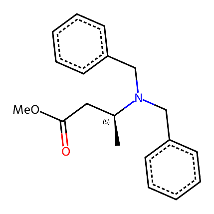 COC(=O)C[C@H](C)N(Cc1ccccc1)Cc1ccccc1